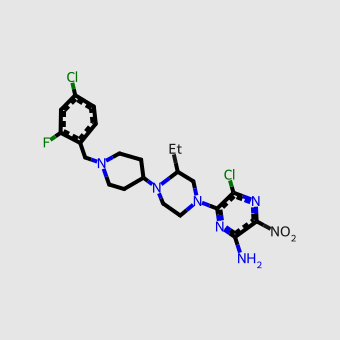 CCC1CN(c2nc(N)c([N+](=O)[O-])nc2Cl)CCN1C1CCN(Cc2ccc(Cl)cc2F)CC1